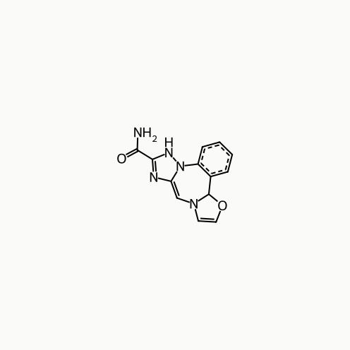 NC(=O)C1=NC2=CN3C=COC3c3ccccc3N2N1